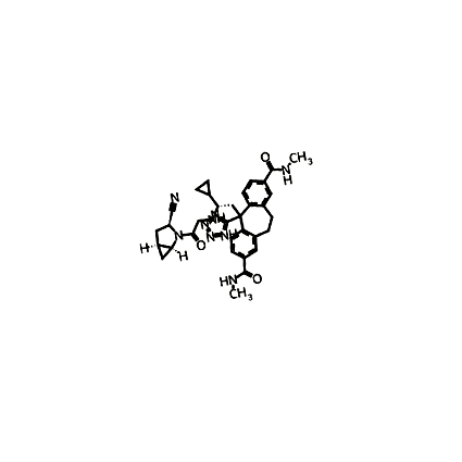 CNC(=O)c1ccc2c(c1)CCc1cc(C(=O)NC)ccc1C2(C[C@H](NCC(=O)N1[C@H](C#N)C[C@@H]2C[C@@H]21)C1CC1)c1nnn[nH]1